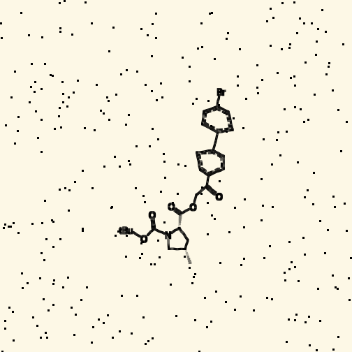 C[C@H]1C[C@@H](C(=O)OCC(=O)c2ccc(-c3ccc(Br)cc3)cc2)N(C(=O)OC(C)(C)C)C1